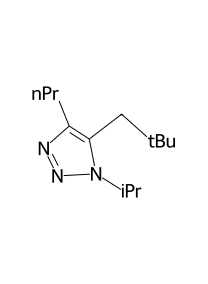 CCCc1nnn(C(C)C)c1CC(C)(C)C